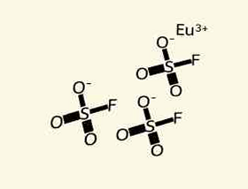 O=S(=O)([O-])F.O=S(=O)([O-])F.O=S(=O)([O-])F.[Eu+3]